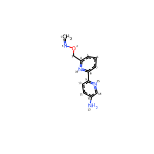 C=NOCc1cccc(-c2ccc(N)cn2)n1